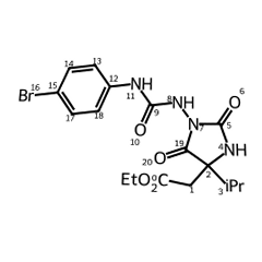 CCOC(=O)CC1(C(C)C)NC(=O)N(NC(=O)Nc2ccc(Br)cc2)C1=O